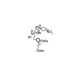 COCCCOc1cc(C[C@@H](C[C@H](N)[C@@H](O)C[C@H](C(=O)NC2CCC(O[N+](=O)[O-])CC2)C(C)C)C(C)C)ccc1OC